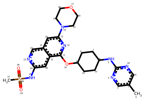 Cc1cnc(NC2CCC(Oc3nc(N4CCOCC4)cc4cnc(NS(C)(=O)=O)cc34)CC2)nc1